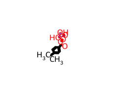 CC(C)c1ccc(C(=O)OOP(=O)(O)O)cc1